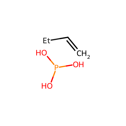 C=CCC.OP(O)O